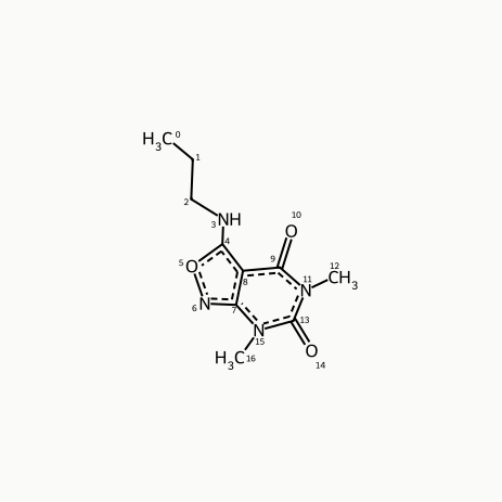 CCCNc1onc2c1c(=O)n(C)c(=O)n2C